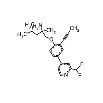 CC#Cc1cc(-c2ccnc(C(F)F)c2)ccc1OCC(C)(N)CC(C)C